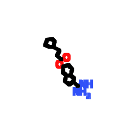 N=C(N)c1ccc2cc(OC(=O)C=Cc3ccccc3)ccc2c1